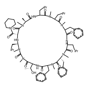 CC(C)CC1NC(=O)[C@H](C)N(C)C(=O)[C@@H](C(=O)N2CCCCC2)N[C@H](CC(C)C)N(C)C(=O)N(C)C(=O)C([C@@H](C)O)NC(=O)C(Cc2ccccc2)N(C)C(=O)[C@@H](Cc2ccccc2)N(C)C(=O)C(CC(C)C)NC(=O)C(Cc2ccccc2)N(C)C(=O)C(CC(C)C)N(C)C1=O